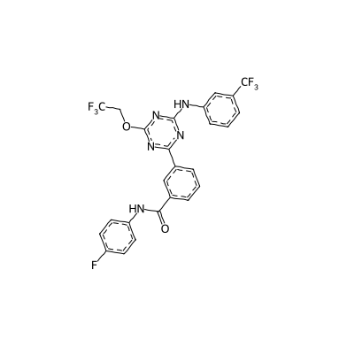 O=C(Nc1ccc(F)cc1)c1cccc(-c2nc(Nc3cccc(C(F)(F)F)c3)nc(OCC(F)(F)F)n2)c1